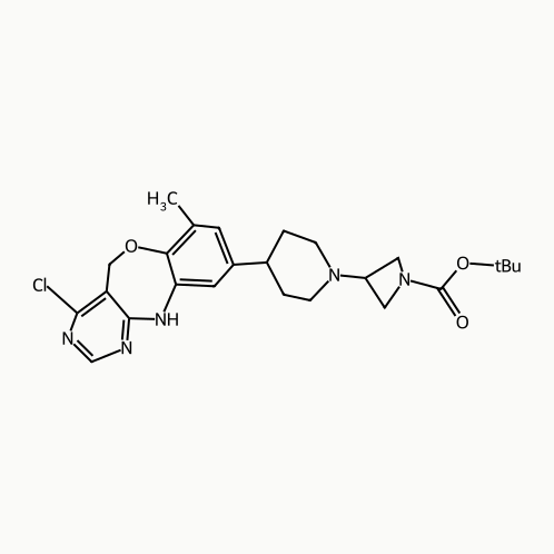 Cc1cc(C2CCN(C3CN(C(=O)OC(C)(C)C)C3)CC2)cc2c1OCc1c(Cl)ncnc1N2